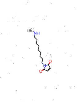 CC(C)(C)NCCCCCCCCCN1C(=O)C=CC1=O